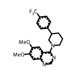 COc1cc2ncnc(N3CCCC(c4ccc(C(F)(F)F)cc4)C3)c2cc1OC